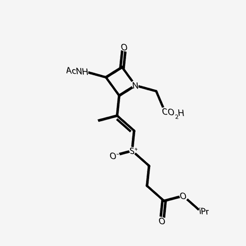 CC(=O)NC1C(=O)N(CC(=O)O)C1C(C)=C[S+]([O-])CCC(=O)OC(C)C